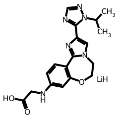 CC(C)n1ncnc1-c1cn2c(n1)-c1ccc(NCC(=O)O)cc1OCC2.[LiH]